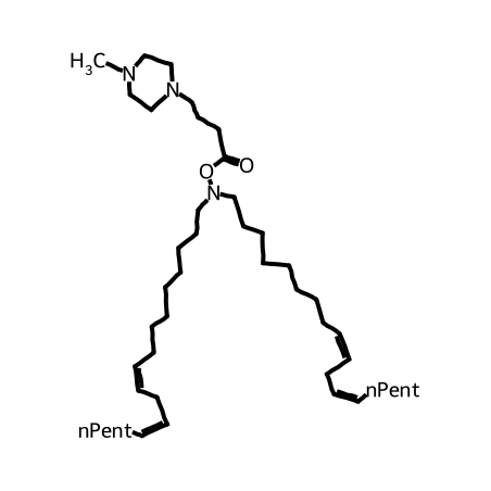 CCCCC/C=C\C/C=C\CCCCCCCCN(CCCCCCCC/C=C\C/C=C\CCCCC)OC(=O)CCCN1CCN(C)CC1